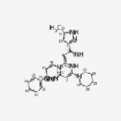 CNC/C=C(\N/C(=C\C(=N)c1cc(C)[nH]n1)N/C=C\C(=N)c1ccccc1)N1CCCCC1